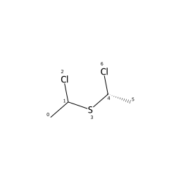 CC(Cl)S[C@@H](C)Cl